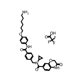 NCCCCCCOc1ccc(NC(=O)c2ccc(CN(C(=O)c3ccc4c(c3)OCC(=O)N4)C3CC3)cc2)cc1.O=C(O)C(F)(F)F